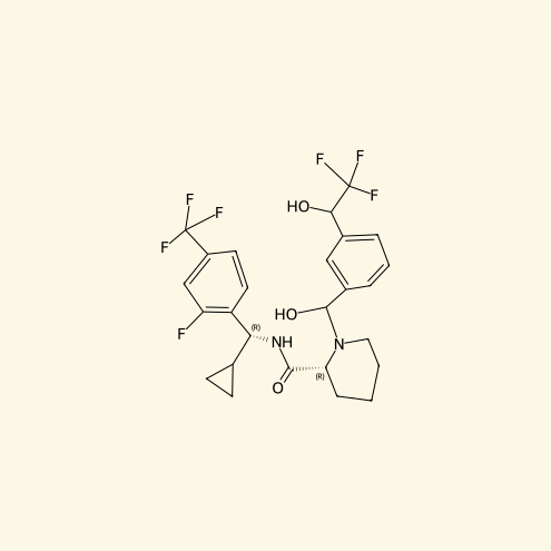 O=C(N[C@@H](c1ccc(C(F)(F)F)cc1F)C1CC1)[C@H]1CCCCN1C(O)c1cccc(C(O)C(F)(F)F)c1